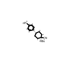 CCCC[C@]1(C#N)CC[C@H](c2ccc(CCC)cc2)CC1